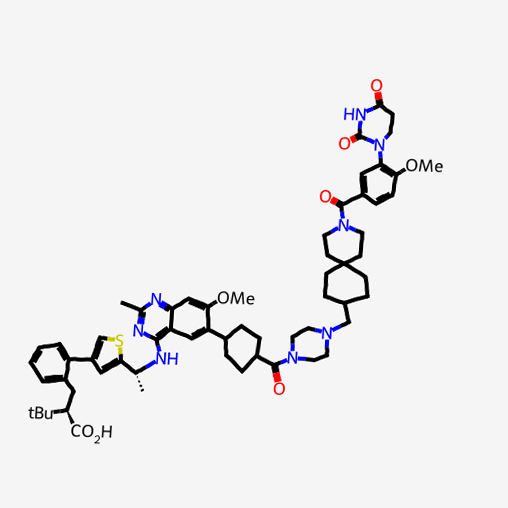 COc1cc2nc(C)nc(N[C@H](C)c3cc(-c4ccccc4C[C@@H](C(=O)O)C(C)(C)C)cs3)c2cc1C1CCC(C(=O)N2CCN(CC3CCC4(CC3)CCN(C(=O)c3ccc(OC)c(N5CCC(=O)NC5=O)c3)CC4)CC2)CC1